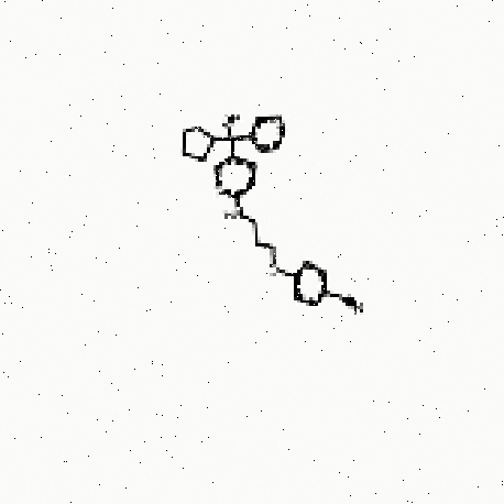 N#Cc1ccc(OCCCNc2ccc(C(O)(c3ccccc3)C3CCCC3)cn2)cc1